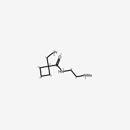 CNCCNC(=O)C1(CC(C)C)CCC1